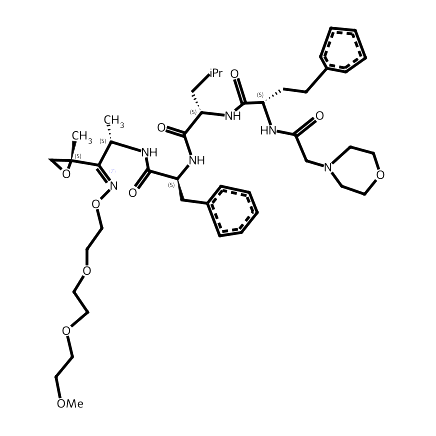 COCCOCCOCCO/N=C(/[C@H](C)NC(=O)[C@H](Cc1ccccc1)NC(=O)[C@H](CC(C)C)NC(=O)[C@H](CCc1ccccc1)NC(=O)CN1CCOCC1)[C@@]1(C)CO1